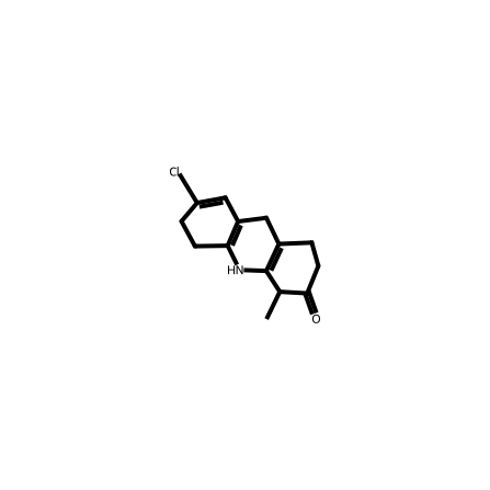 CC1C(=O)CCC2=C1NC1=C(C=C(Cl)CC1)C2